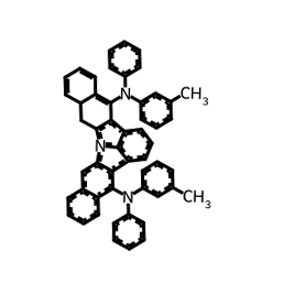 Cc1cccc(N(C2=C3C=CC=CC3Cc3c2c2cccc4c5c(N(c6ccccc6)c6cccc(C)c6)c6ccccc6cc5n3c24)c2ccccc2)c1